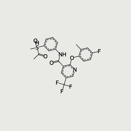 CC(=O)[SH](C)(=O)c1cccc(NC(=O)c2cc(C(F)(F)F)cnc2Oc2ccc(F)cc2C)c1